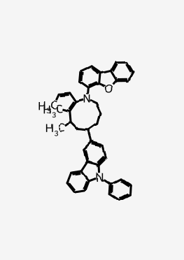 C/C=C\C1=C(/C)C(C)CC(c2ccc3c(c2)c2ccccc2n3-c2ccccc2)CCCN1c1cccc2c1oc1ccccc12